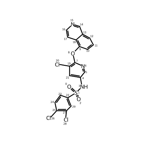 O=S(=O)(Nc1cnc(Oc2cccc3cnccc23)c(Cl)c1)c1ccc(Cl)c(Cl)c1